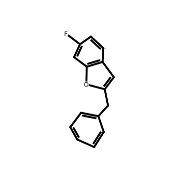 Fc1c[c]c2cc(Cc3ccccc3)oc2c1